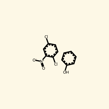 O=[N+]([O-])c1cc(Cl)ccc1Cl.Oc1ccccc1